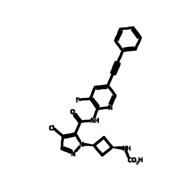 O=C(O)N[C@H]1C[C@@H](n2ncc(Cl)c2C(=O)Nc2ncc(C#Cc3ccccc3)cc2F)C1